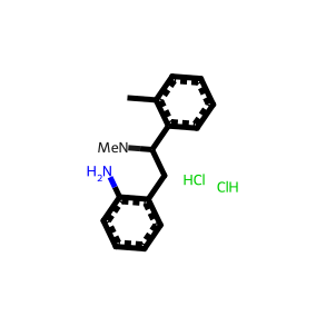 CNC(Cc1ccccc1N)c1ccccc1C.Cl.Cl